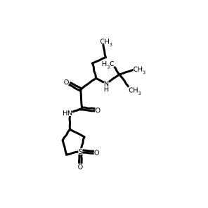 CCCC(NC(C)(C)C)C(=O)C(=O)NC1CCS(=O)(=O)C1